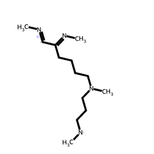 C[N]CCCN(C)CCCCC(/[C]=N/C)=NC